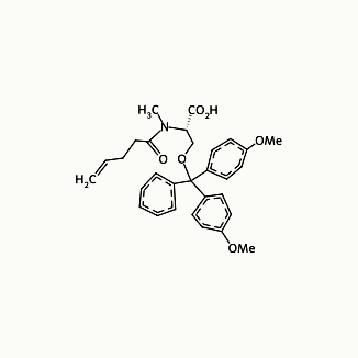 C=CCCC(=O)N(C)[C@@H](COC(c1ccccc1)(c1ccc(OC)cc1)c1ccc(OC)cc1)C(=O)O